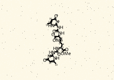 COC(=O)C(CCCC(NC(=O)Nc1nc(=O)cc(C)[nH]1)C(=O)OC)NC(=O)Nc1nc(=O)cc(C)[nH]1